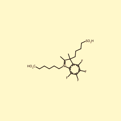 CC1=[N+](CCCCCC(=O)O)c2c(F)c(F)c(F)c(F)c2C1(C)CCCCS(=O)(=O)O